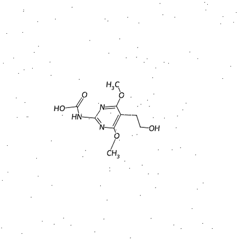 COc1nc(NC(=O)O)nc(OC)c1CCO